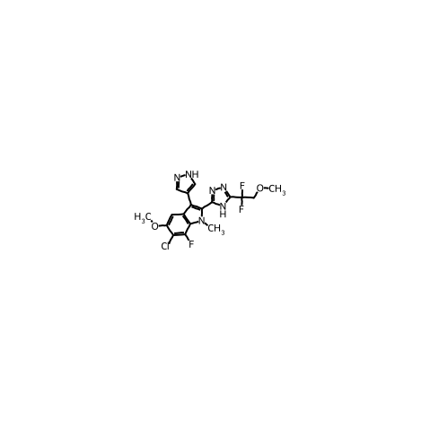 COCC(F)(F)c1nnc(-c2c(-c3cn[nH]c3)c3cc(OC)c(Cl)c(F)c3n2C)[nH]1